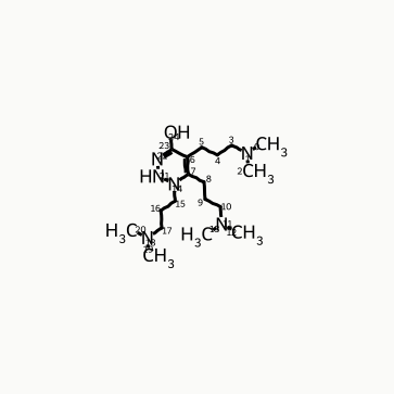 CN(C)CCCC1=C(CCCN(C)C)N(CCCN(C)C)NN=C1O